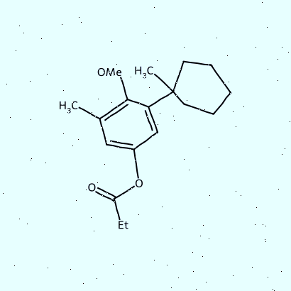 CCC(=O)Oc1cc(C)c(OC)c(C2(C)CCCCC2)c1